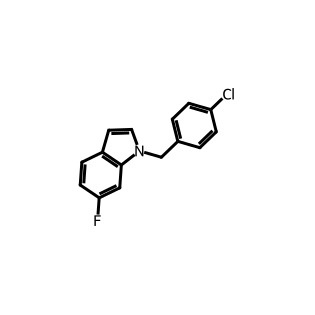 Fc1ccc2ccn(Cc3ccc(Cl)cc3)c2c1